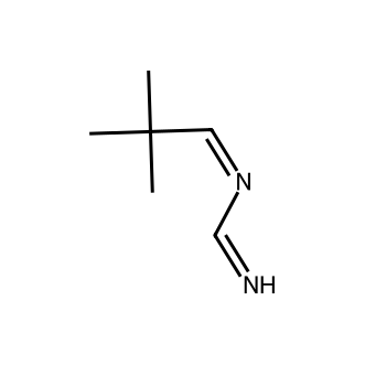 CC(C)(C)/C=N\C=N